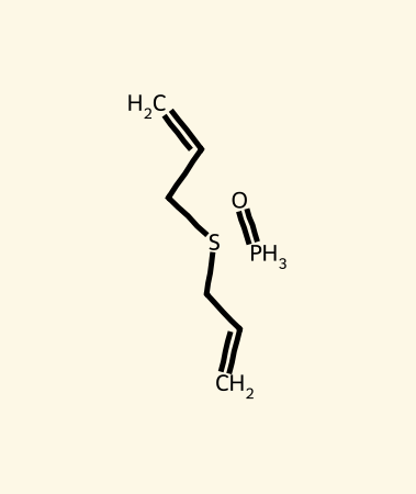 C=CCSCC=C.O=[PH3]